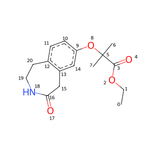 CCOC(=O)C(C)(C)Oc1ccc2c(c1)CC(=O)NCC2